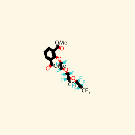 COC(=O)c1cccc(C(=O)OC)c1OC(F)(F)C(F)OC(F)(F)C(F)(OC(F)(F)C(F)(F)C(F)(F)F)C(F)(F)F